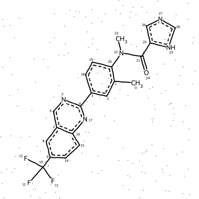 Cc1cc(-c2ncc3cc(C(F)(F)F)ccc3n2)ccc1N(C)C(=O)c1cnc[nH]1